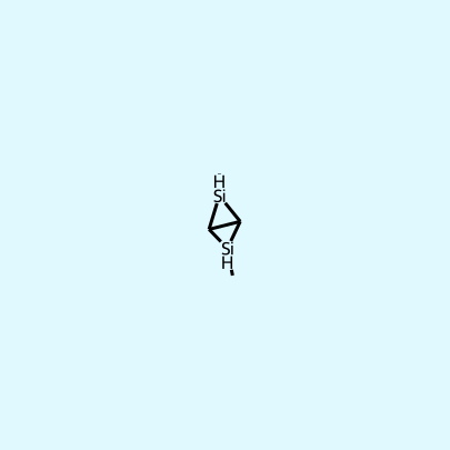 C[SiH]1C2C1[SiH]2C